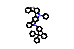 c1ccc(-n2c3cc4c(cc3c3c5c(ccc32)oc2ccccc25)c2ccccc2n4-c2ccc3c(c2)C(c2ccccc2)(c2ccccc2)c2ccccc2-3)cc1